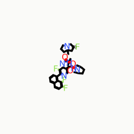 CC(C)(C)OC(=O)N1C2CCC1CN(c1nc(OCC34CCCN3C[C@H](F)C4)nc3c(F)c(-c4cccc5ccc(F)c(F)c45)ncc13)C2